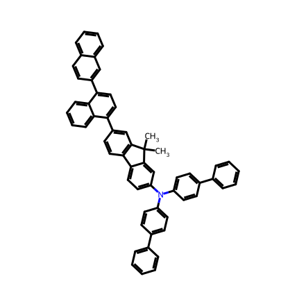 CC1(C)c2cc(-c3ccc(-c4ccc5ccccc5c4)c4ccccc34)ccc2-c2ccc(N(c3ccc(-c4ccccc4)cc3)c3ccc(-c4ccccc4)cc3)cc21